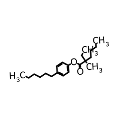 CCCCCCc1ccc(OC(=O)C(C)(CC)CCCC)cc1